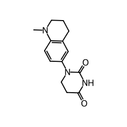 CN1CCCc2cc(N3CCC(=O)NC3=O)ccc21